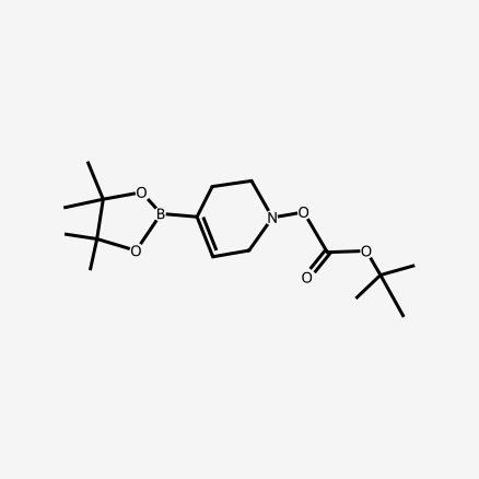 CC(C)(C)OC(=O)ON1CC=C(B2OC(C)(C)C(C)(C)O2)CC1